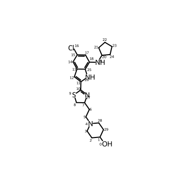 OC1CCN(CCC2CSC(c3cc4cc(Cl)cc(NC5CCCC5)c4[nH]3)=N2)CC1